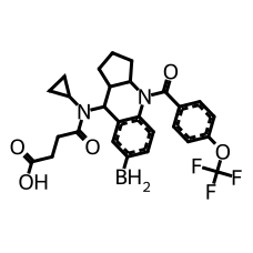 Bc1ccc2c(c1)C(N(C(=O)CCC(=O)O)C1CC1)C1CCCC1N2C(=O)c1ccc(OC(F)(F)F)cc1